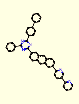 c1ccc(-c2ccc(-c3nc(-c4ccccc4)nc(-c4ccc5cc6cc(-c7ccc(-c8ccccn8)cn7)ccc6cc5c4)n3)cc2)cc1